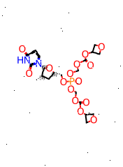 C[C@H]1C[C@@H](COP(=O)(OCOC(=O)OC2COC2)OCOC(=O)OC2COC2)O[C@H]1n1ccc(=O)[nH]c1=O